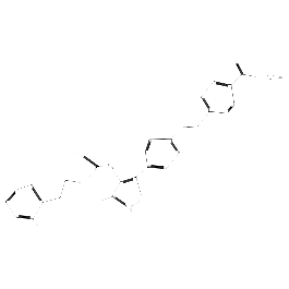 COC(=O)c1ccc(COc2ccc(-c3onc(C)c3NC(=O)OCCc3ccccc3F)cc2)cc1